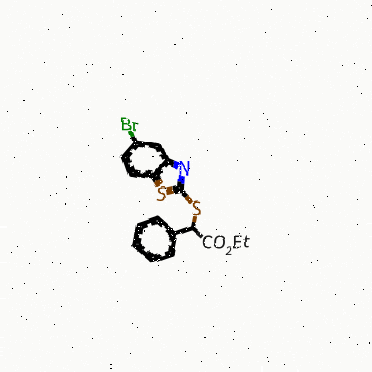 CCOC(=O)C(Sc1nc2cc(Br)ccc2s1)c1ccccc1